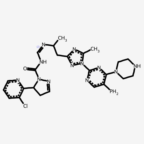 Cc1nc(CC(C)/N=C\NC(=O)N2N=CCC2c2ncccc2Cl)nn1-c1ncc(P)c(N2CCNCC2)n1